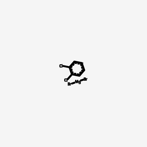 Clc1c[c]ccc1Cl.[Br][Mg][Br]